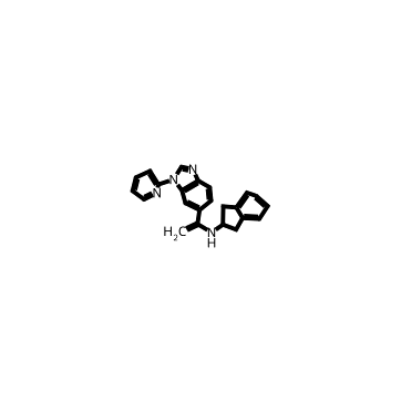 C=C(NC1Cc2ccccc2C1)c1ccc2ncn(-c3ccccn3)c2c1